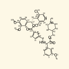 COc1cccc(C(NCc2ccc(C(=O)O[C@@H](Cc3c(Cl)cncc3Cl)c3ccc(OC)c(OC)c3)s2)C(=O)OCC2CCN(C)CC2)c1